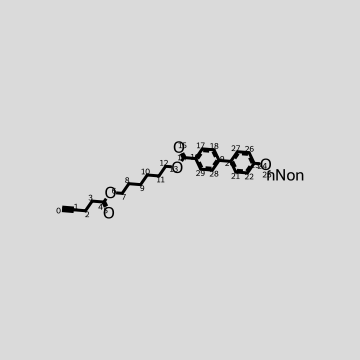 C#CCCC(=O)OCCCCCCOC(=O)c1ccc(-c2ccc(OCCCCCCCCC)cc2)cc1